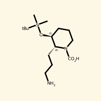 CC(C)(C)[Si](C)(C)O[C@H]1CCCN(C(=O)O)[C@@H]1CCCN